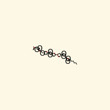 C=C(C)COC(=O)CCOc1ccc(C(=O)Oc2ccc(-c3ccc(C(=O)OCCOC(=O)CCCCCC)cc3)cc2)cc1